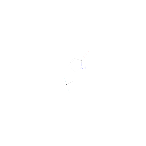 O=C1C=CC(CC(F)(F)F)N1